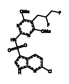 COc1nc(NS(=O)(=O)c2c[nH]c3nc(Cl)ccc23)nc(OC)c1CC(F)CF